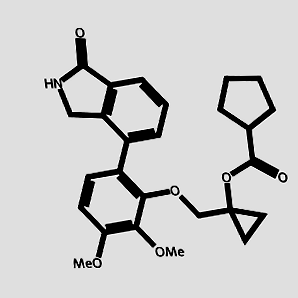 COc1ccc(-c2cccc3c2CNC3=O)c(OCC2(OC(=O)C3CCCC3)CC2)c1OC